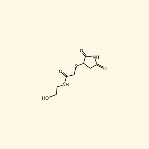 O=C(CSC1CC(=O)NC1=O)NCCO